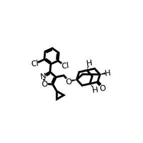 O=C1[C@@H]2C[C@@H]3C[C@H]1C[C@@](OCc1c(-c4c(Cl)cccc4Cl)noc1C1CC1)(C3)C2